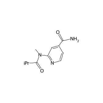 CC(C)C(=O)N(C)c1cc(C(N)=O)ccn1